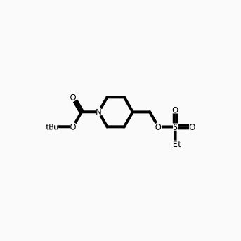 CCS(=O)(=O)OCC1CCN(C(=O)OC(C)(C)C)CC1